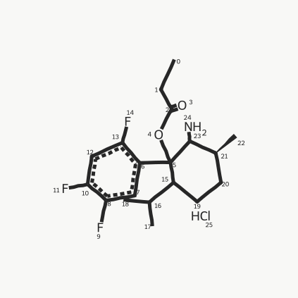 CCC(=O)OC1(c2cc(F)c(F)cc2F)C(C(C)C)CC[C@H](C)C1N.Cl